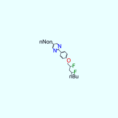 CCCCCCCCCc1cnc(-c2ccc(OCC(F)CC(F)CCCC)cc2)nc1